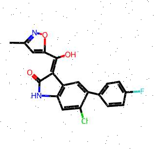 Cc1cc(C(O)=C2C(=O)Nc3cc(Cl)c(-c4ccc(F)cc4)cc32)on1